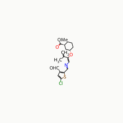 C=C(C)/C(=C\N=C\c1sc(Cl)cc1C=O)O[C@H]1CCC[C@H](C(=O)OC)C1